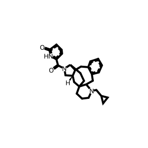 O=C(c1cccc(=O)[nH]1)N1C[C@H]2CC34CCCN(CC5CC5)C3Cc3ccccc3CC2C1CC4